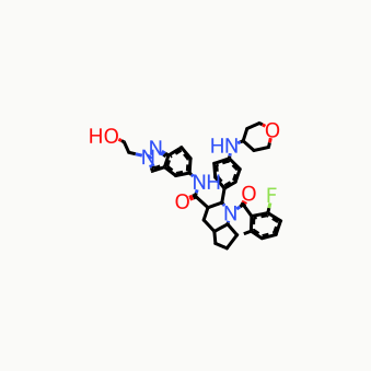 Cc1cccc(F)c1C(=O)N1C2CCCC2CC(C(=O)Nc2ccc3nn(CCO)cc3c2)C1c1ccc(NC2CCOCC2)cc1